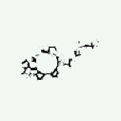 CCn1c(-c2cccnc2[C@H](C)OC)c2c3cc(ccc31)-c1cc(F)cc(c1)C[C@H](NC(=O)C(COC1CN(C(=O)C#CC(C)(C)N(C)C)C1)C(C)C)C(=O)N1CCC[C@H](N1)C(=O)OCC(C)(C)C2